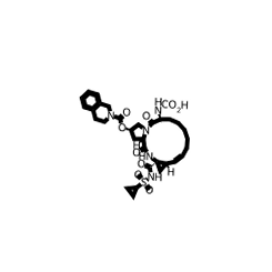 O=C(O)N[C@H]1CCCCC/C=C\[C@@H]2C[C@@]2(C(=O)NS(=O)(=O)C2CC2)NC(=O)[C@@H]2C[C@@H](OC(=O)N3CCc4ccccc4C3)CN2C1=O